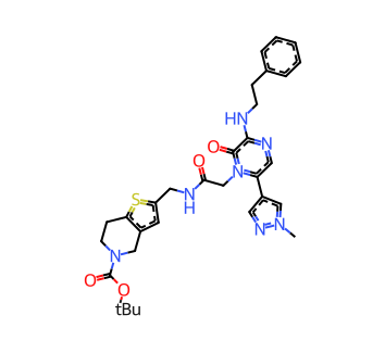 Cn1cc(-c2cnc(NCCc3ccccc3)c(=O)n2CC(=O)NCc2cc3c(s2)CCN(C(=O)OC(C)(C)C)C3)cn1